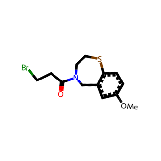 COc1ccc2c(c1)CN(C(=O)CCBr)CCS2